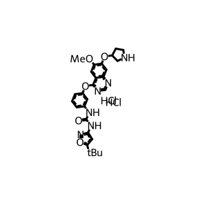 COc1cc2c(Oc3cccc(NC(=O)Nc4cc(C(C)(C)C)on4)c3)ncnc2cc1OC1CCNC1.Cl.Cl